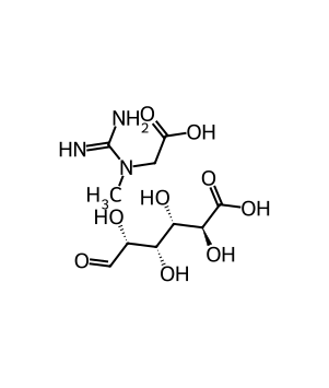 CN(CC(=O)O)C(=N)N.O=C[C@H](O)[C@@H](O)[C@H](O)[C@H](O)C(=O)O